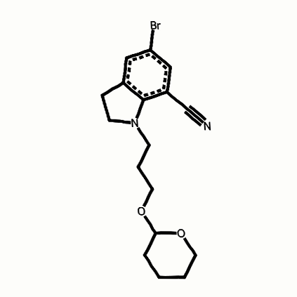 N#Cc1cc(Br)cc2c1N(CCCOC1CCCCO1)CC2